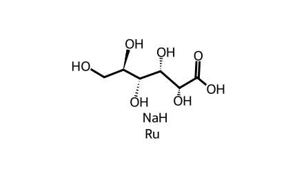 O=C(O)[C@H](O)[C@@H](O)[C@H](O)[C@H](O)CO.[NaH].[Ru]